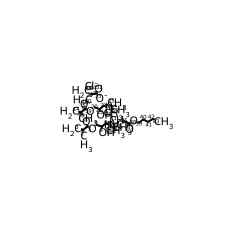 C=C(C)C(=O)OCC(O)C[N+](C)(C)C.C=C(C)C(=O)OCC(O)C[N+](C)(C)C.C=C(C)C(=O)[O-].C=CC(=O)OCCCCC.[Cl-]